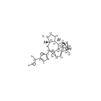 COC(C)c1ccc(C23C[C@@H]4[C@H](C)CC[C@H]4C(C=O)C4(C(=O)O)C(C(C)C)=CC2C43C)o1